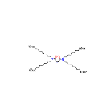 CCCCCCCCCCCCCCCCCCN(CCCCCCCCCCCCCCCCCC)C(=O)/C=C\C(=O)N(CCCCCCCCCCCCCCCCCC)CCCCCCCCCCCCCCCCCC